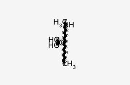 CCCCCCCCCCCCCCNC.O=C(O)O